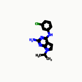 CC(C)n1ccc2c(Nc3cccc(Cl)c3)nc(N)nc21